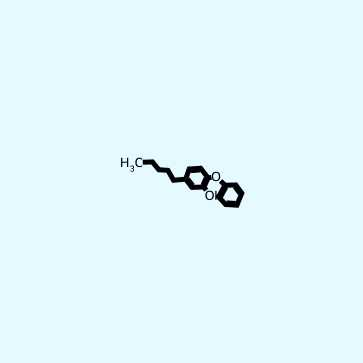 CCCCCc1ccc(Oc2ccccc2)c(O)c1